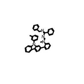 Cc1cccc(-n2c3ccccc3c3ccc(-c4ccccc4N(C)/C=N/C(=N\Cc4ccccc4)c4ccccc4)cc32)c1